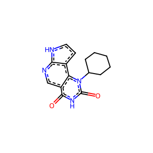 O=c1[nH]c(=O)n(C2CCCCC2)c2c1cnc1[nH]ccc12